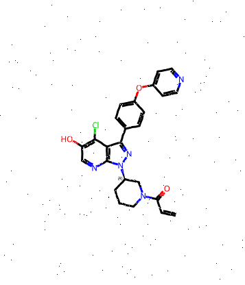 C=CC(=O)N1CCC[C@@H](n2nc(-c3ccc(Oc4ccncc4)cc3)c3c(Cl)c(O)cnc32)C1